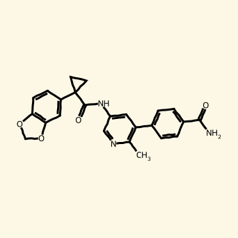 Cc1ncc(NC(=O)C2(c3ccc4c(c3)OCO4)CC2)cc1-c1ccc(C(N)=O)cc1